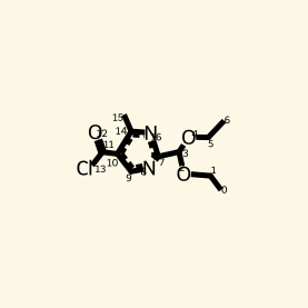 CCOC(OCC)c1ncc(C(=O)Cl)c(C)n1